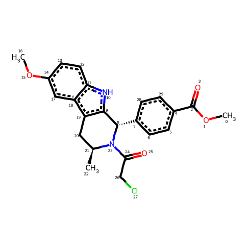 COC(=O)c1ccc([C@H]2c3[nH]c4ccc(OC)cc4c3C[C@H](C)N2C(=O)CCl)cc1